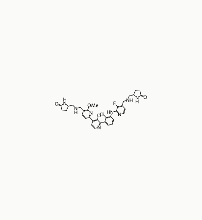 COc1nc(-c2ccnc(-c3cccc(Nc4nccc(CNCC5CCC(=O)N5)c4F)c3Cl)c2Cl)ccc1CNCC1CCC(=O)N1